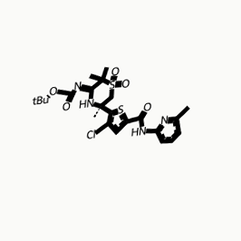 Cc1cccc(NC(=O)c2cc(Cl)c([C@]3(C)CS(=O)(=O)C(C)(C)/C(=N/C(=O)OC(C)(C)C)N3)s2)n1